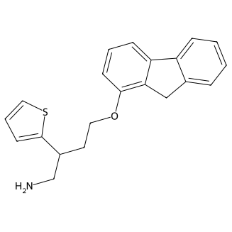 NCC(CCOc1cccc2c1Cc1ccccc1-2)c1cccs1